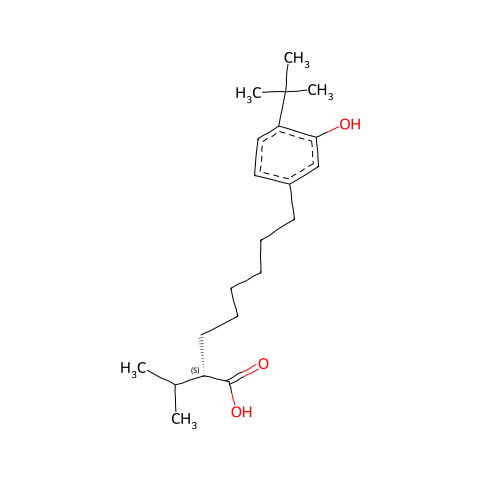 CC(C)[C@H](CCCCCCc1ccc(C(C)(C)C)c(O)c1)C(=O)O